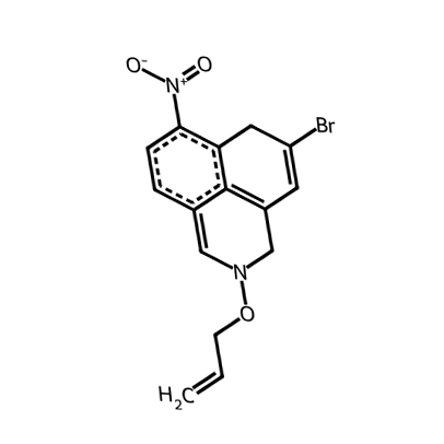 C=CCON1C=c2ccc([N+](=O)[O-])c3c2=C(C=C(Br)C3)C1